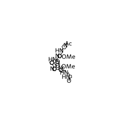 COc1cc(C(=O)Nc2cccc(-c3nccc(-c4ccc(CNCC5CCC(=O)N5)c(OC)n4)c3Cl)c2Cl)ncc1CNC1CCN(C(C)=O)CC1